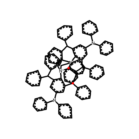 C1=C[N+]2(c3c(C(c4ccccc4)c4ccccc4)cc(N(c4ccccc4)c4ccccc4)cc3C(c3ccccc3)c3ccccc3)C[N+]1(c1c(C(c3ccccc3)c3ccccc3)cc(N(c3ccccc3)c3ccccc3)cc1C(c1ccccc1)c1ccccc1)C2